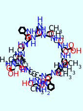 CC(C)C[C@@H]1NC(=O)[C@H](Cc2c[nH]cn2)NC(=O)[C@H](Cc2c[nH]c3ccccc23)NC(=O)[C@H](C)NC(=O)[C@@H](NC(=O)[C@H](CC(=O)O)NC(C)(C)C)CC(=O)NCCC[C@@H](C(=O)N[C@H](C(N)=O)[C@@H](C)O)NC(=O)[C@H](Cc2c[nH]c3ccccc23)NC(=O)C(C(C)C)NC(=O)[C@H](CC(C)C)NC(=O)[C@H](CCC(=O)O)NC(=O)CNC1=O